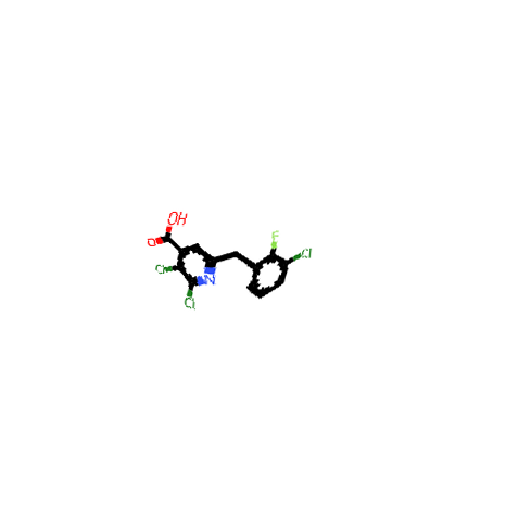 O=C(O)c1cc(Cc2cccc(Cl)c2F)nc(Cl)c1Cl